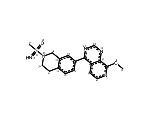 COc1nccc2c(-c3ccc4c(c3)CN(S(C)(=N)=O)CC4)ncnc12